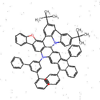 CC(C)(C)c1ccc2c(c1)c1cc(C(C)(C)C)cc3c1n2B1c2cc4c(-c5ccccc5)c5ccccc5c(-c5ccccc5)c4cc2N(c2cc(-c4ccccc4)cc(-c4ccccc4)c2)c2cc4c(oc5ccccc54)c-3c21